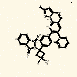 Cc1cc2ncc3cc(-c4ccccc4C)c(-c4ccc([C@]5(N6C(=O)c7ccccc7C6=O)C[C@](C)(O)C5)cc4)nc3n2n1